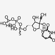 C#C[C@@]1(O)[C@H](O)[C@@H](CO[P@@](O)(=S)OP(=O)(O)OP(=O)(O)O)O[C@H]1n1ccc(=O)[nH]c1=O